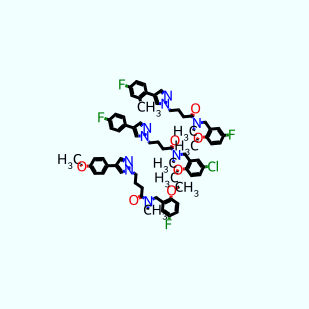 COc1ccc(-c2cnn(CCCC(=O)N(C)Cc3cc(F)ccc3OC)c2)cc1.COc1ccc(Cl)cc1CN(C)C(=O)CCCn1cc(-c2ccc(F)cc2)cn1.COc1ccc(F)cc1CN(C)C(=O)CCCn1cc(-c2ccc(F)cc2C)cn1